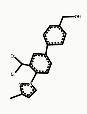 CCC(CC)c1cc(-c2ccc(CO)cc2)ccc1-n1ccc(C)n1